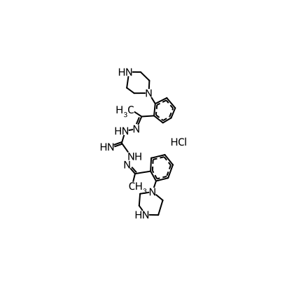 CC(=NNC(=N)NN=C(C)c1ccccc1N1CCNCC1)c1ccccc1N1CCNCC1.Cl